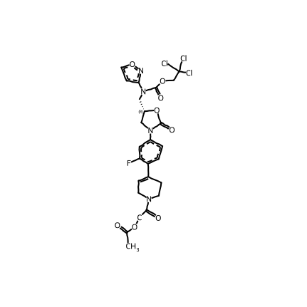 CC(=O)OCC(=O)N1CC=C(c2ccc(N3C[C@H](CN(C(=O)OCC(Cl)(Cl)Cl)c4ccon4)OC3=O)cc2F)CC1